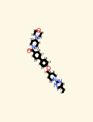 CCc1cnc(N2CCC(COc3ccc(C4=CCC(C(=O)N5CCC(N6CCOCC6)CC5)CC4)cc3)CC2)nc1